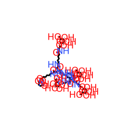 CCNC(=O)C(O[C@@H]1O[C@@H](CO)[C@H](O)[C@@H](O)[C@H]1O)N(CC(=O)NCCO[C@@H]1O[C@@H](CO)[C@H](O)[C@@H](O)[C@H]1O)C(CCCCNC(=O)CN(CC(=O)NCCCCCC(=O)NCCO[C@@H]1O[C@@H](CO)[C@H](O)[C@@H](O)[C@H]1O)CC(=O)NCCCCCC(=O)ON1C(=O)CCC1=O)C(=O)NCCO[C@H]1O[C@H](CO)[C@@H](O)[C@H](O)[C@@H]1O